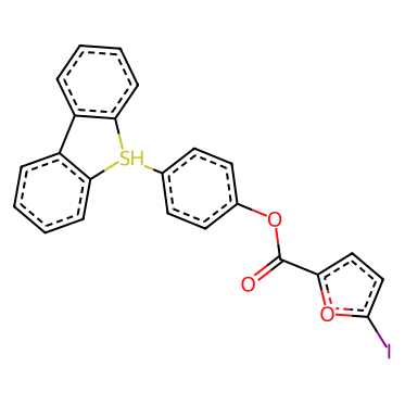 O=C(Oc1ccc([SH]2c3ccccc3-c3ccccc32)cc1)c1ccc(I)o1